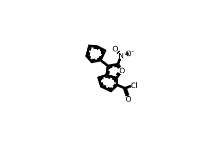 O=C(Cl)c1cccc2c(-c3ccccc3)c([N+](=O)[O-])oc12